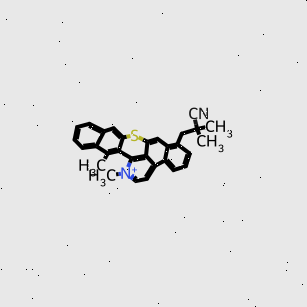 Cc1c2c(cc3ccccc13)Sc1cc3c(CC(C)(C)C#N)cccc3c3cc[n+](C)c-2c13